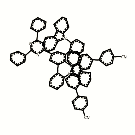 N#Cc1ccc(-c2ccc3c(c2)c2cc(-c4ccc(C#N)cc4)ccc2n3-c2c(-c3ccccc3-n3c4ccccc4c4ccccc43)cc(-c3cc(-c4ccccc4)nc(-c4ccccc4)n3)cc2-c2ccccc2-n2c3ccccc3c3ccccc32)cc1